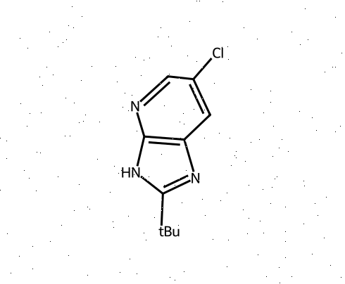 CC(C)(C)c1nc2cc(Cl)cnc2[nH]1